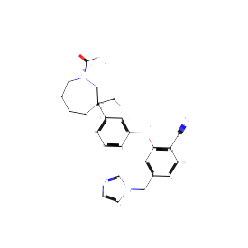 CCC1(c2cccc(Oc3cc(Cn4ccnc4)ccc3C#N)c2)CCCCN(C(C)=O)C1